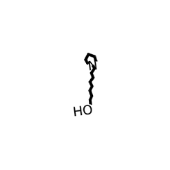 OCCCCCCCCCN1CCCCC1